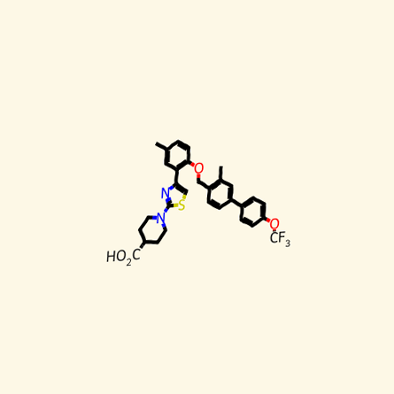 Cc1ccc(OCc2ccc(-c3ccc(OC(F)(F)F)cc3)cc2C)c(-c2csc(N3CCC(C(=O)O)CC3)n2)c1